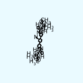 COC(=O)NC(C(=O)N1CCCC1c1nc2cc(-c3ccc(-c4ccc5[nH]c(C6CCCN6C(=O)[C@@H](NC(=O)OC)C(C)C)nc5c4)c(C#N)c3)ccc2[nH]1)C(C)C